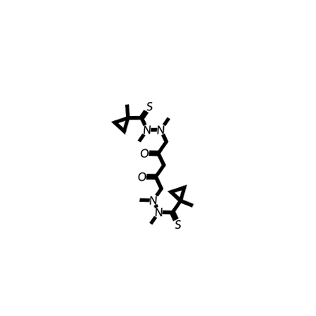 CN(CC(=O)CC(=O)CN(C)N(C)C(=S)C1(C)CC1)N(C)C(=S)C1(C)CC1